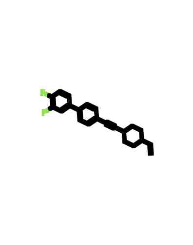 C=CC1CCC(C#Cc2ccc(-c3ccc(F)c(F)c3)cc2)CC1